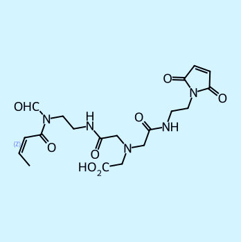 C/C=C\C(=O)N(C=O)CCNC(=O)CN(CC(=O)O)CC(=O)NCCN1C(=O)C=CC1=O